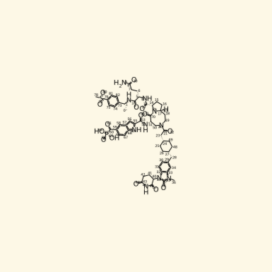 C[C@@H](NC(=O)[C@H](CCC(N)=O)NC(=O)[C@@H]1CC[C@@H]2CCN(C(=O)C[C@H]3CC[C@@H](Cc4ccc5c(c4)n(C)c(=O)n5C4CCC(=O)NC4=O)CC3)C[C@H](NC(=O)c3cc4cc(C(=O)P(=O)(O)O)ccc4[nH]3)C(=O)N21)c1ccc(S(C)(=O)=O)cc1